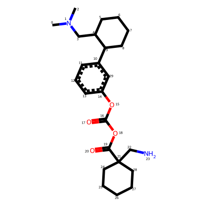 CN(C)CC1CCCCC1c1cccc(OC(=O)OC(=O)C2(CN)CCCCC2)c1